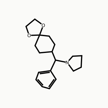 c1ccc(C(C2CCC3(CC2)OCCO3)N2CCCC2)cc1